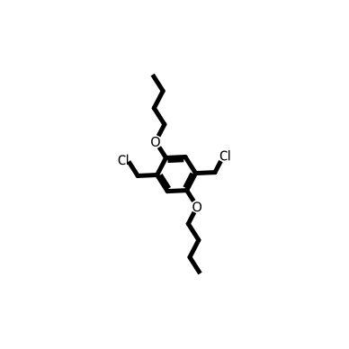 CCCCOc1cc(CCl)c(OCCCC)cc1CCl